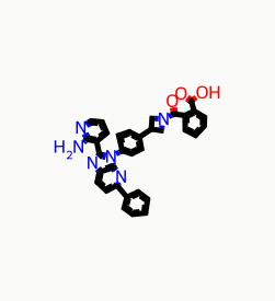 Nc1ncccc1-c1nc2ccc(-c3ccccc3)nc2n1-c1ccc(C2CN(C(=O)c3ccccc3C(=O)O)C2)cc1